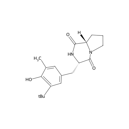 Cc1cc(C[C@@H]2NC(=O)[C@@H]3CCCN3C2=O)cc(C(C)(C)C)c1O